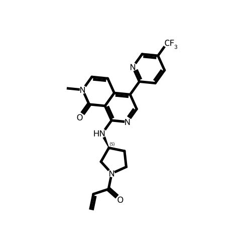 C=CC(=O)N1CC[C@H](Nc2ncc(-c3ccc(C(F)(F)F)cn3)c3ccn(C)c(=O)c23)C1